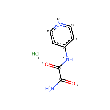 Cl.NC(=O)C(=O)Nc1ccncc1